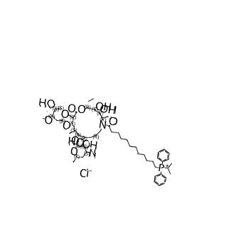 CC[C@H]1OC(=O)[C@H](C)[C@@H](O[C@H]2C[C@@](C)(OC)[C@@H](O)[C@H](C)O2)[C@H](C)[C@@H](O[C@@H]2O[C@H](C)C[C@H](N(C)C)[C@H]2O)[C@](C)(O)C[C@@H](C)CN(C(=O)CCCCCCCCCCC[P+](c2ccccc2)(c2ccccc2)C(C)C)[C@H](C)[C@@H](O)[C@]1(C)O.[Cl-]